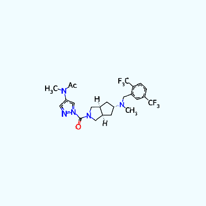 CC(=O)N(C)c1cnn(C(=O)N2C[C@H]3C[C@H](N(C)Cc4cc(C(F)(F)F)ccc4C(F)(F)F)C[C@H]3C2)c1